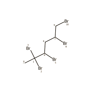 [CH2]C(Br)(Br)C(Br)CC(Br)CBr